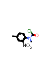 Cc1ccc(N(C)C(=O)Cl)c([N+](=O)[O-])c1